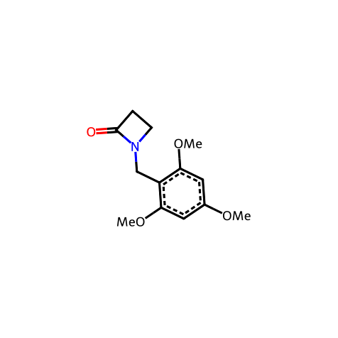 COc1cc(OC)c(CN2CCC2=O)c(OC)c1